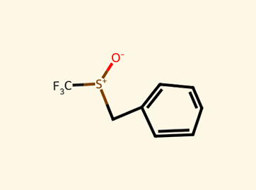 [O-][S+](Cc1ccccc1)C(F)(F)F